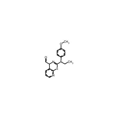 CCN(C1=NC(C=O)c2cccnc2S1)c1ccc(OC)cc1